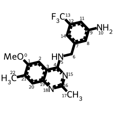 COc1cc2c(NCc3cc(N)cc(C(F)(F)F)c3)nc(C)nc2cc1C